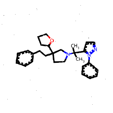 CC(C)(c1ccnn1-c1ccccc1)N1CCC(CCc2ccccc2)(C2CCCO2)C1